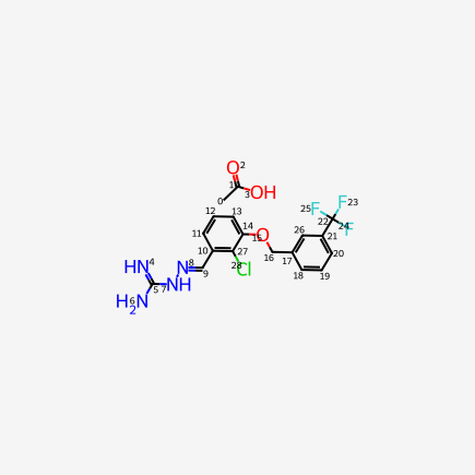 CC(=O)O.N=C(N)N/N=C/c1cccc(OCc2cccc(C(F)(F)F)c2)c1Cl